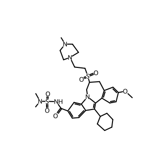 COc1ccc2c(c1)CC(S(=O)(=O)CCN1CCN(C)CC1)Cn1c-2c(C2CCCCC2)c2ccc(C(=O)NS(=O)(=O)N(C)C)cc21